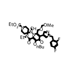 CCCCOc1c2n(c(COCOC)c(-c3cnn(Cc4ccc(F)cc4F)c3)c1=O)N(C)C1(CCN(C(=O)OCC)CC1)N(CC)C2=O